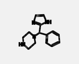 c1ccc(C(c2ncc[nH]2)N2CCNCC2)cc1